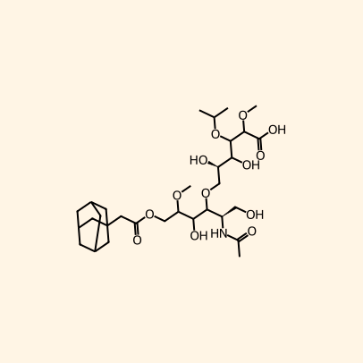 COC(COC(=O)CC12CC3CC(CC(C3)C1)C2)C(O)C(OC[C@@H](O)C(O)C(OC(C)C)C(OC)C(=O)O)[C@@H](CO)NC(C)=O